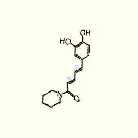 O=C(/C=C/C=C/c1ccc(O)c(O)c1)N1CCCCC1